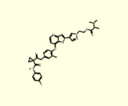 CC(C(=O)OCCn1cc(-c2cc3nccc(Oc4ccc(CC(=O)C5(C(=O)Nc6ccc(F)cc6)CC5)cc4F)c3s2)cn1)N(C)C